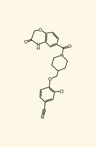 N#Cc1ccc(OCC2CCN(C(=O)c3ccc4c(c3)NC(=O)CO4)CC2)c(Cl)c1